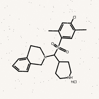 Cc1cc(S(=O)(=O)C(C2CCNCC2)N2CCc3ccccc3C2)c(C)cc1Cl.Cl